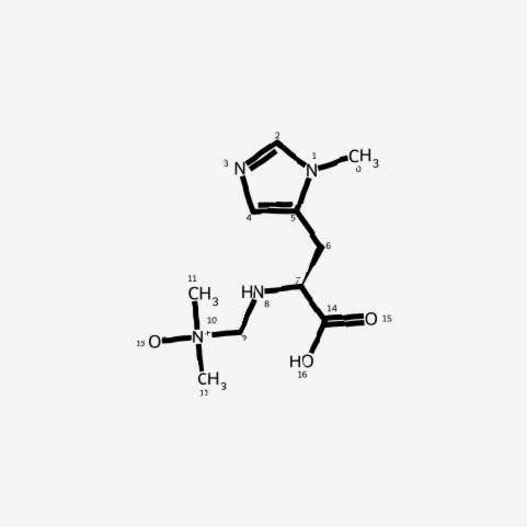 Cn1cncc1C[C@H](NC[N+](C)(C)[O-])C(=O)O